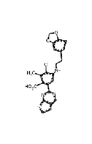 Cc1c(Cl)c(NCCc2ccc3c(c2)OCO3)cc(-c2ncc3ccsc3n2)c1C(=O)O